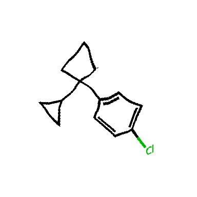 Clc1ccc(C2(C3CC3)[CH]CC2)cc1